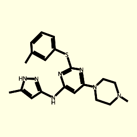 Cc1cccc(Sc2nc(Nc3cc(C)[nH]n3)cc(N3CCN(C)CC3)n2)c1